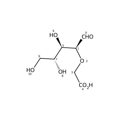 O=C[C@@H](OCC(=O)O)[C@H](O)[C@H](O)CO